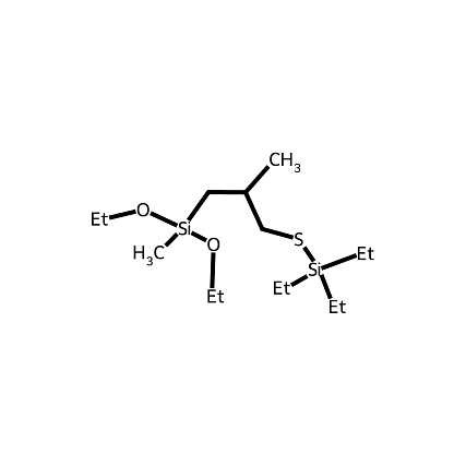 CCO[Si](C)(CC(C)CS[Si](CC)(CC)CC)OCC